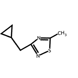 Cc1nc(CC2CC2)ns1